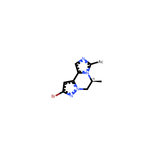 CC(=O)c1ncc2n1[C@@H](C)Cn1nc(Br)cc1-2